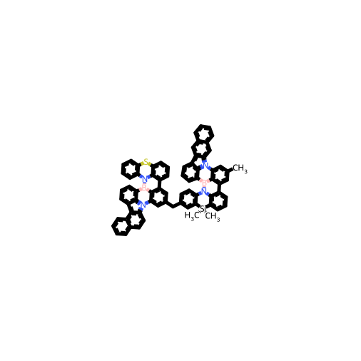 Cc1cc2c3c(c1)-n1c4cc5ccccc5cc4c4cccc(c41)B3N1c3ccc(Cc4cc5c6c(c4)-n4c7ccc8ccccc8c7c7cccc(c74)B6N4c6ccccc6Sc6cccc-5c64)cc3[Si](C)(C)c3cccc-2c31